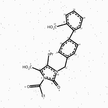 CCCc1c(C(=O)O)n(C(=O)CC)c(=O)n1Cc1ccc(-c2ccccc2C(=O)O)cc1